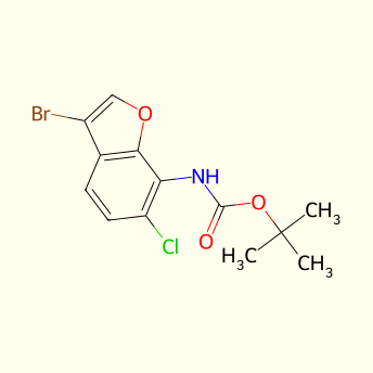 CC(C)(C)OC(=O)Nc1c(Cl)ccc2c(Br)coc12